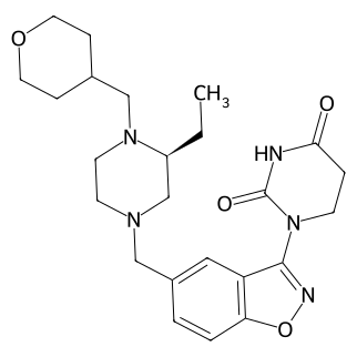 CC[C@H]1CN(Cc2ccc3onc(N4CCC(=O)NC4=O)c3c2)CCN1CC1CCOCC1